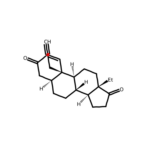 C#CC[C@]12C=CC(=O)C[C@@H]1CC[C@H]1[C@@H]3CCC(=O)[C@@]3(CC)CC[C@@H]12